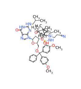 COc1ccc(C(OC[C@H]2O[C@@H](n3cnc4c(=O)[nH]c(NCC(C)C)nc43)[C@H](O[Si](C)(C)C(C)(C)C)[C@@H]2OP(O)N[N+](CCC#N)(C(C)C)C(C)C)(c2ccccc2)c2ccc(OC)cc2)cc1